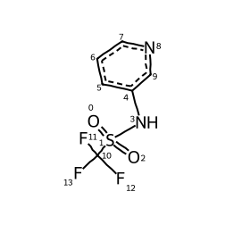 O=S(=O)(Nc1cccnc1)C(F)(F)F